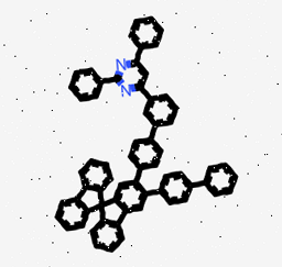 c1ccc(-c2ccc(-c3cc4c(cc3-c3ccc(-c5cccc(-c6cc(-c7ccccc7)nc(-c7ccccc7)n6)c5)cc3)C3(c5ccccc5-c5ccccc53)c3ccccc3-4)cc2)cc1